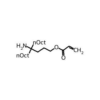 C=CC(=O)OCCCC(N)(CCCCCCCC)CCCCCCCC